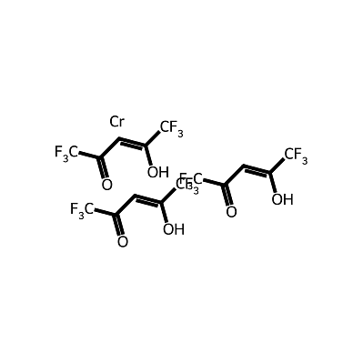 O=C(C=C(O)C(F)(F)F)C(F)(F)F.O=C(C=C(O)C(F)(F)F)C(F)(F)F.O=C(C=C(O)C(F)(F)F)C(F)(F)F.[Cr]